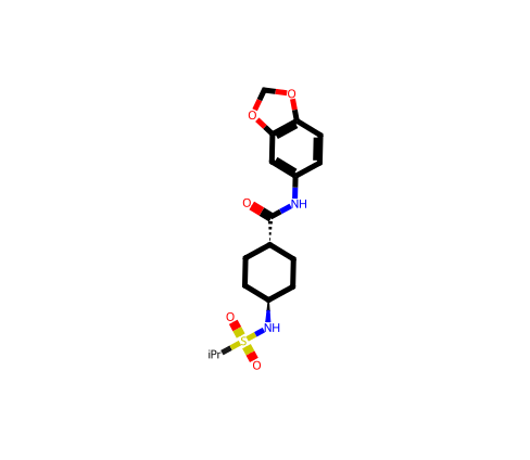 CC(C)S(=O)(=O)N[C@H]1CC[C@H](C(=O)Nc2ccc3c(c2)OCO3)CC1